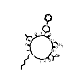 CCCCCC[C@H]1OC[C@@H](C)NC(=O)[C@H](C(C)O)NC(=O)[C@H](CN)NC(=O)[C@H](C2CCN(c3ccccc3)CC2)NC(=O)[C@H](CC(C)C)N(C)C(=O)[C@@H]1C